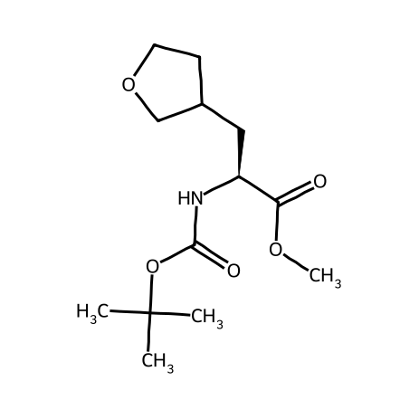 COC(=O)[C@H](CC1CCOC1)NC(=O)OC(C)(C)C